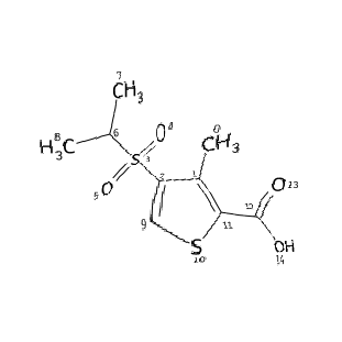 Cc1c(S(=O)(=O)C(C)C)csc1C(=O)O